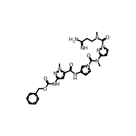 CN(CCC(=N)N)C(=O)n1ccc(N(C)C(=O)n2ccc(NC(=O)c3cc(NC(=O)OCc4ccccc4)nn3C)c2)n1